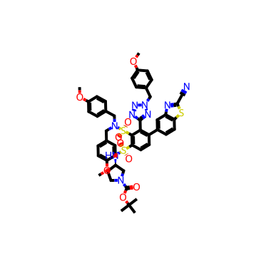 COc1ccc(CN(Cc2ccc(OC)cc2)S(=O)(=O)c2c(S(=O)(=O)N[C@@H]3CCN(C(=O)OC(C)(C)C)C3)ccc(-c3ccc4sc(C#N)nc4c3)c2-c2nnn(Cc3ccc(OC)cc3)n2)cc1